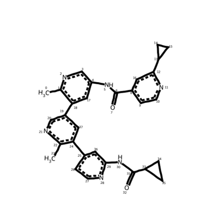 Cc1ncc(NC(=O)c2ccnc(C3CC3)c2)cc1-c1cnc(C)c(-c2ccnc(NC(=O)C3CC3)c2)c1